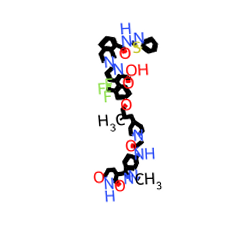 C[C@@H](COc1ccc(-c2ccc(N3CCc4cccc(C(=O)Nc5nc6ccccc6s5)c4C3)nc2C(=O)O)c(C(F)(F)F)c1)CC1CCN(CC(=O)Nc2ccc3c(C4CCC(=O)NC4=O)nn(C)c3c2)CC1